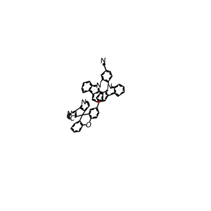 N#Cc1ccc(-n2c3ccccc3c3cc(-c4ccc5c(c4)C4(c6ccccc6O5)c5cccnc5-c5ncccc54)ccc32)c(-n2c3ccccc3c3ccccc32)c1